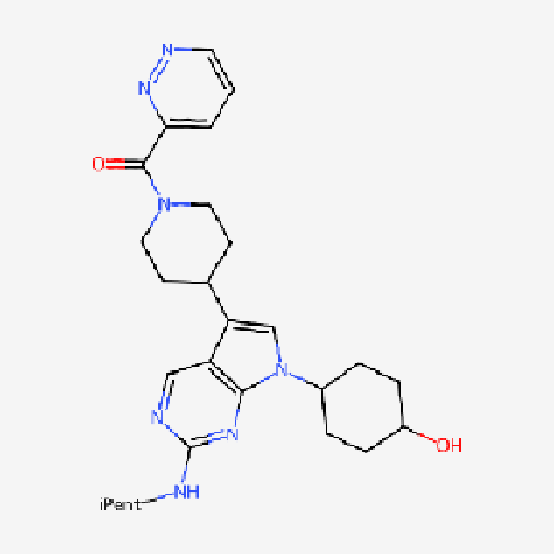 CCCC(C)Nc1ncc2c(C3CCN(C(=O)c4cccnn4)CC3)cn(C3CCC(O)CC3)c2n1